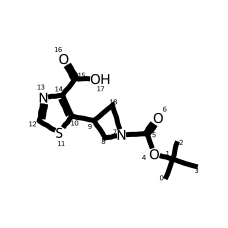 CC(C)(C)OC(=O)N1CC(c2scnc2C(=O)O)C1